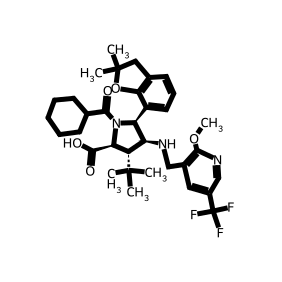 COc1ncc(C(F)(F)F)cc1CN[C@H]1[C@H](C(C)(C)C)[C@@H](C(=O)O)N(C(=O)C2CCCCC2)[C@H]1c1cccc2c1OC(C)(C)C2